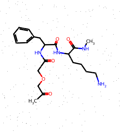 CNC(=O)C(CCCCN)NC(=O)C(Cc1ccccc1)NC(=O)COCC(C)=O